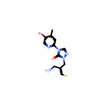 Cc1cc(-n2cnn(C/C(=C\F)CN)c2=O)ncc1Br